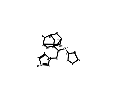 c1cn(CC(SC2CCCC2)C23CC4CC(CC(C4)C2)C3)cn1